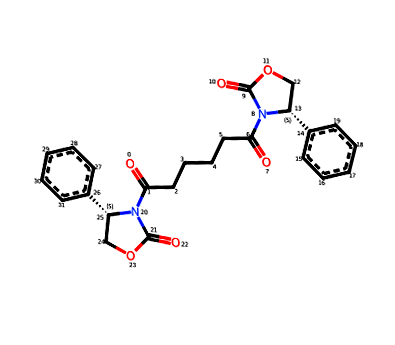 O=C(CCCCC(=O)N1C(=O)OC[C@@H]1c1ccccc1)N1C(=O)OC[C@@H]1c1ccccc1